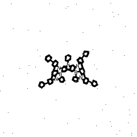 c1ccc(-c2ccc3c(c2)c2cc4c5cc(-c6ccccc6)ccc5n5c4c4c2n3-c2ccccc2B4c2cc3c4cc6c(cc4n(-c4ccccc4)c3cc2-5)-n2c3ccc(-c4ccccc4)cc3c3cc4c5cc(-c7ccccc7)ccc5n5c4c(c32)B6c2ccccc2-5)cc1